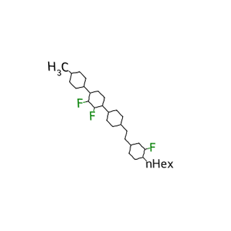 CCCCCCC1CCC(CCC2CCC(C3CCC(C4CCC(C)CC4)C(F)C3F)CC2)CC1F